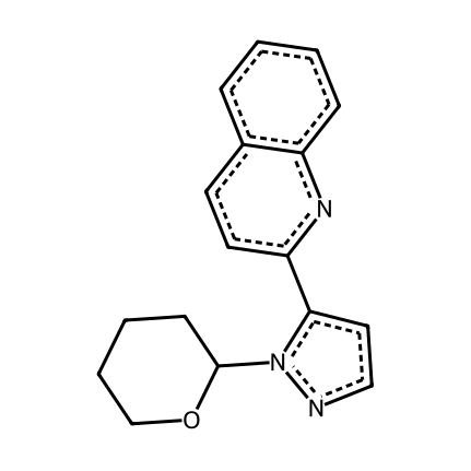 c1ccc2nc(-c3ccnn3C3CCCCO3)ccc2c1